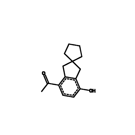 CC(=O)c1ccc(O)c2c1CC1(CCCC1)C2